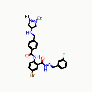 CCN1CC(NCc2ccc(C(=O)Nc3ccc(Br)cc3C(=O)NN=Cc3cccc(F)c3)cc2)CN1CC